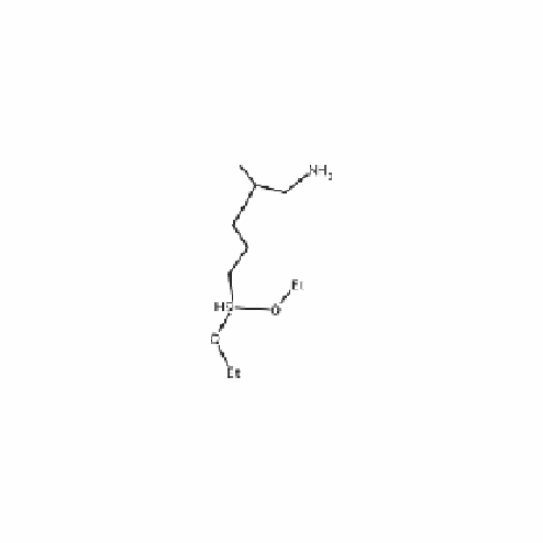 CCO[SiH](CCCC(C)CN)OCC